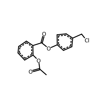 CC(=O)Oc1ccccc1C(=O)Oc1ccc(CCl)cc1